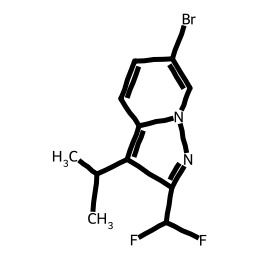 CC(C)c1c(C(F)F)nn2cc(Br)ccc12